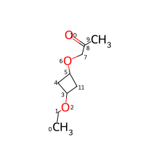 CCOC1CC(OCC(C)=O)C1